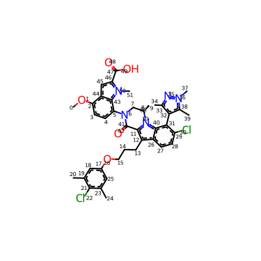 COc1ccc(N2C[C@@H](C)n3c(c(CCCOc4cc(C)c(Cl)c(C)c4)c4ccc(Cl)c(-c5c(C)nn(C)c5C)c43)C2=O)c2c1cc(C(=O)O)n2C